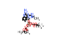 CCNCc1nc2c(N)nc3ccccc3c2n1CC(C)OCP(=O)(OCOC(=O)OC(C)C)OCOC(=O)OC(C)C